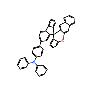 c1ccc(N(c2ccccc2)c2ccc(-c3ccc4c(c3)C3(c5ccccc5Oc5cc6ccccc6cc53)c3ccccc3-4)cc2)cc1